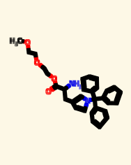 COCCOCCOC(=O)C(N)Cc1ccn(C(c2ccccc2)(c2ccccc2)c2ccccc2)c1